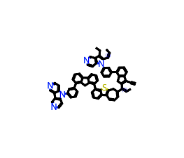 C#CC1=C(/C(=C\C)C2=CC=Cc3c(sc4c(-c5cccc6c5Cc5c(-c7cccc(-n8c9ccncc9c9cnccc98)c7)cccc5-6)cccc34)C2)Cc2c1cccc2-c1cccc(-n2c(/C=C\C)c(CC)c3cnccc32)c1